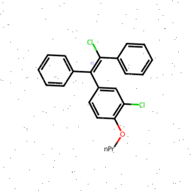 CCCOc1ccc(/C(=C(/Cl)c2ccccc2)c2ccccc2)cc1Cl